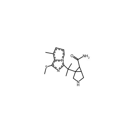 CSc1nc(C(C)(C)C23CNCC2C3C(N)=O)n2cccc(C)c12